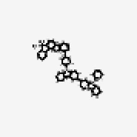 CC1(C)c2ccccc2-c2c1ccc1c2sc2c(-c3ccc(-n4c5ccccc5c5cc(-c6ccc7c8ccccc8n(-c8ccccc8)c7c6)ccc54)cc3)cccc21